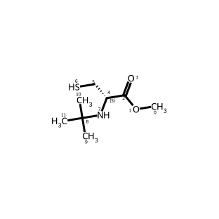 COC(=O)[C@@H](CS)NC(C)(C)C